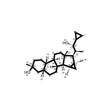 C[C@@H]([C@H]1[C@H]2C[C@H]2[C@H]2[C@@H]3CC[C@@H]4C[C@](C)(O)CC[C@@H]4[C@H]3CC[C@@]21C)[C@H](O)C1CC1